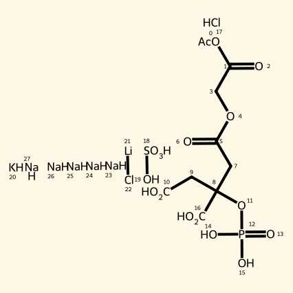 CC(=O)OC(=O)COC(=O)CC(CC(=O)O)(OP(=O)(O)O)C(=O)O.Cl.O=S(=O)(O)O.[KH].[Li][Cl].[NaH].[NaH].[NaH].[NaH].[NaH]